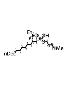 CCCCCCCCCCCCCCCCC(COP(O)OCCCNC)OC(=O)CC